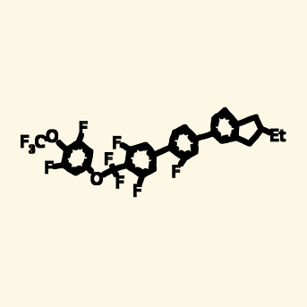 CCC1Cc2ccc(-c3ccc(-c4cc(F)c(C(F)(F)Oc5cc(F)c(OC(F)(F)F)c(F)c5)c(F)c4)c(F)c3)cc2C1